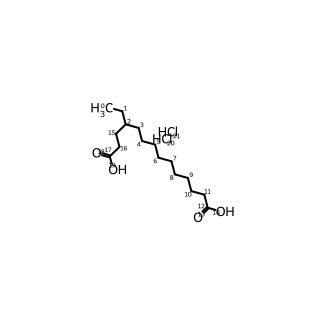 CCC(CCCCCCCCCC(=O)O)CCC(=O)O.Cl.Cl